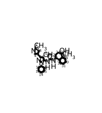 Cc1c(-c2cnn(C)c2)nn(-c2ccccc2)c1NC(=O)NC1CCC(C)(O)c2ccccc21